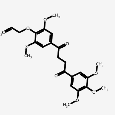 C=CCOc1c(OC)cc(C(=O)CCC(=O)c2cc(OC)c(OC)c(OC)c2)cc1SC